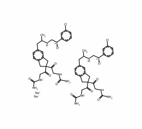 CC(Cc1ccc2c(c1)CC(C(=O)CNC(N)=O)(C(=O)CNC(N)=O)C2)NC[C@H]([O-])c1cccc(Cl)c1.CC(Cc1ccc2c(c1)CC(C(=O)CNC(N)=O)(C(=O)CNC(N)=O)C2)NC[C@H]([O-])c1cccc(Cl)c1.[Na+].[Na+]